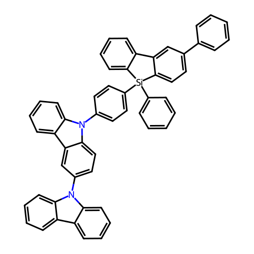 c1ccc(-c2ccc3c(c2)-c2ccccc2[Si]3(c2ccccc2)c2ccc(-n3c4ccccc4c4cc(-n5c6ccccc6c6ccccc65)ccc43)cc2)cc1